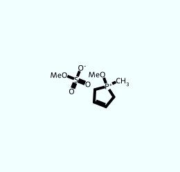 COS(=O)(=O)[O-].CO[P+]1(C)CC=CC1